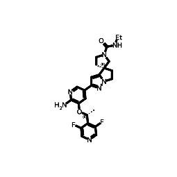 CCNC(=O)N1CC[C@@]2(CCn3nc(-c4cnc(N)c(O[C@H](C)c5c(F)cncc5F)c4)cc32)C1